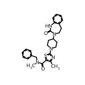 Cc1nc(N2CCC(N3CCc4ccccc4NC3=O)CC2)sc1C(=O)N(C)Cc1ccccc1